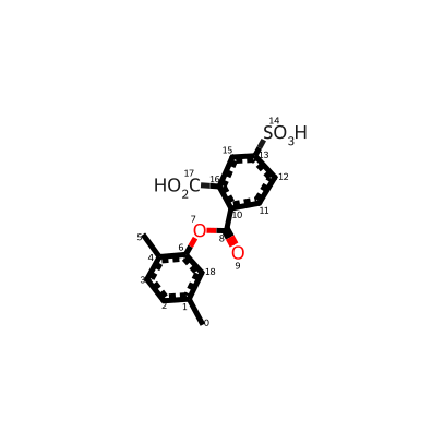 Cc1ccc(C)c(OC(=O)c2ccc(S(=O)(=O)O)cc2C(=O)O)c1